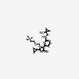 C[Si](C)(C)CCOCn1c(C2CC2)nc(Br)c1-c1ccnc(NCC2(C#N)CC2)n1